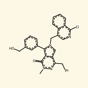 CC(C)Cc1nn(C)c(=O)c2c(-c3cccc(CO)c3)n(Cc3cnc(Cl)c4ccccc34)cc12